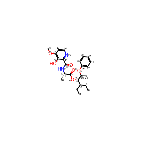 CCC(CC)[C@H](OC(=O)[C@H](C)NC(=O)c1nccc(OC)c1O)[C@H](C)Oc1ccccc1